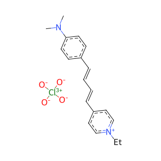 CC[n+]1ccc(/C=C/C=C/c2ccc(N(C)C)cc2)cc1.[O-][Cl+3]([O-])([O-])[O-]